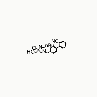 CCCCC1=NC(Cl)(CO)CN1Cc1ccc(-c2ccccc2C#N)cc1